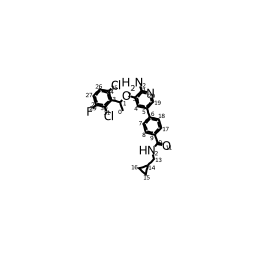 CC(Oc1cc(-c2ccc(C(=O)NCC3CC3)cc2)cnc1N)c1c(Cl)ccc(F)c1Cl